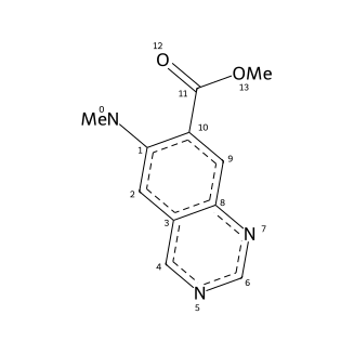 CNc1cc2cncnc2cc1C(=O)OC